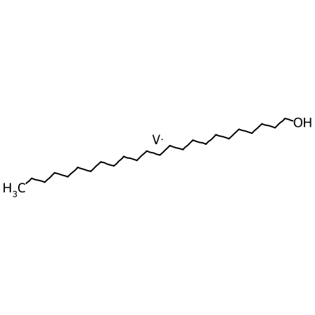 CCCCCCCCCCCCCCCCCCCCCCCCO.[V]